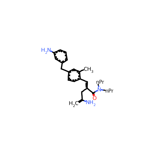 C=C(N)C/C(=C\c1ccc(Cc2cccc(N)c2)cc1C)C(=O)N(CCC)CCC